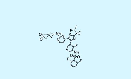 O=S1(=O)CC2(CC(Nc3nccc(-c4sc(C5(C(F)F)CC5)nc4-c4cccc(NS(=O)(=O)c5c(F)cccc5F)c4F)n3)C2)C1